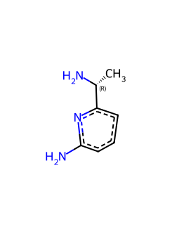 C[C@@H](N)c1cccc(N)n1